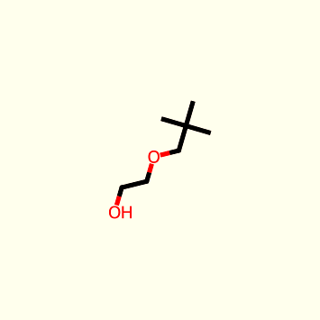 CC(C)(C)COCCO